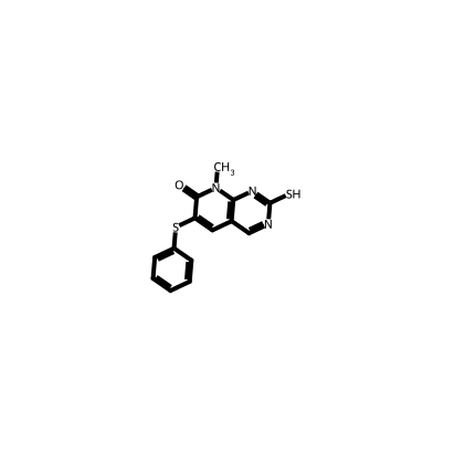 Cn1c(=O)c(Sc2ccccc2)cc2cnc(S)nc21